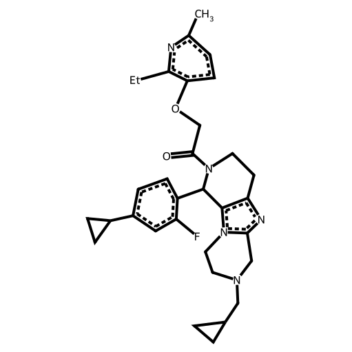 CCc1nc(C)ccc1OCC(=O)N1CCc2nc3n(c2C1c1ccc(C2CC2)cc1F)CCN(CC1CC1)C3